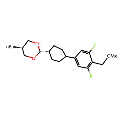 CCCC[C@H]1CO[C@H](C2CCC(c3cc(F)c(COC)c(F)c3)CC2)OC1